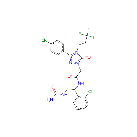 NC(=O)NCC(NC(=O)Cn1nc(-c2ccc(Cl)cc2)n(CCC(F)(F)F)c1=O)c1ccccc1Cl